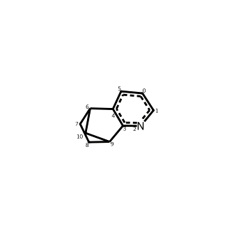 c1cnc2c(c1)C1CCC2C1